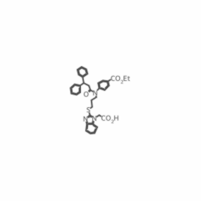 CCOC(=O)c1ccc(N(CCCSc2nc3ccccc3n2CC(=O)O)C(=O)CC(c2ccccc2)c2ccccc2)cc1